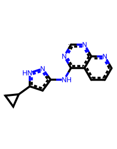 [c]1nc(Nc2cc(C3CC3)[nH]n2)c2cccnc2n1